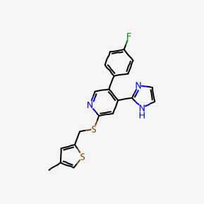 Cc1csc(CSc2cc(-c3ncc[nH]3)c(-c3ccc(F)cc3)cn2)c1